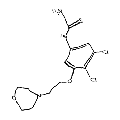 NC(=S)Nc1cc(Cl)c(Cl)c(OCCN2CCOCC2)c1